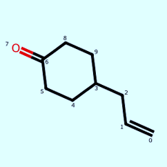 C=CCC1CCC(=O)CC1